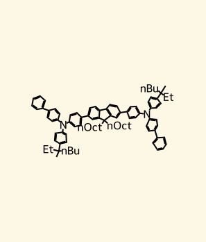 CCCCCCCCC1(CCCCCCCC)c2cc(-c3ccc(N(c4ccc(-c5ccccc5)cc4)c4ccc(C(C)(CC)CCCC)cc4)cc3)ccc2-c2ccc(-c3ccc(N(c4ccc(-c5ccccc5)cc4)c4ccc(C(C)(CC)CCCC)cc4)cc3)cc21